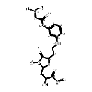 CCNC(=O)C(C#N)CC1SC(CCNc2cccc(NC(=O)CN(C)CC)c2)C(=O)N1CC